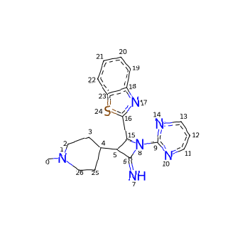 CN1CCC(C2C(=N)N(c3ncccn3)C2c2nc3ccccc3s2)CC1